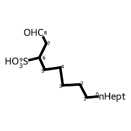 CCCCCCCCCCCCC(CC=O)S(=O)(=O)O